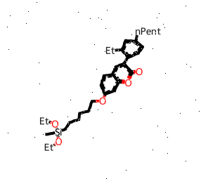 CCCCCc1ccc(-c2cc3ccc(OCCCCCC[Si](C)(OCC)OCC)cc3oc2=O)c(CC)c1